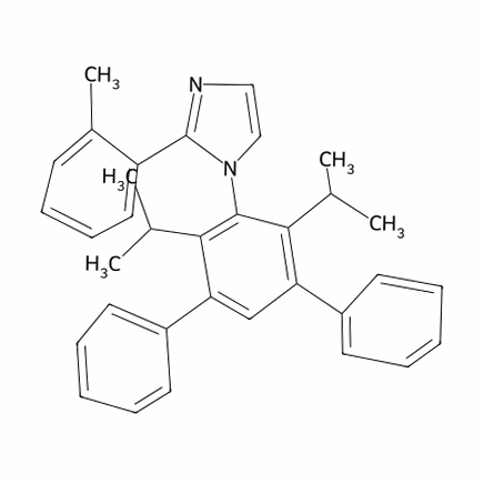 Cc1ccccc1-c1nccn1-c1c(C(C)C)c(-c2ccccc2)cc(-c2ccccc2)c1C(C)C